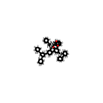 c1ccc(-c2cc(-c3ccccc3)cc(-c3ccc(-c4cc(-n5c6ccccc6c6ccccc65)cc5c4sc4ccccc45)c(-c4nc(-c5ccccc5)nc(-c5ccccc5)n4)c3)c2)cc1